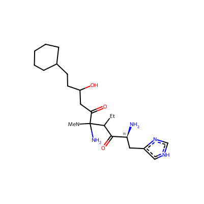 CCC(C(=O)[C@@H](N)Cc1c[nH]cn1)C(N)(NC)C(=O)CC(O)CCC1CCCCC1